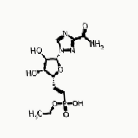 CCOP(=O)(O)/C=C/[C@H]1O[C@@H](n2cnc(C(N)=O)n2)[C@H](O)[C@@H]1O